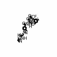 Cc1cc(C)c(S(=O)(=O)N[C@@H](CNC(=O)c2ccc3c(cnn3CCC(=O)Nc3ncc[nH]3)c2)C(=O)OC(=O)C(F)(F)F)c(C)c1